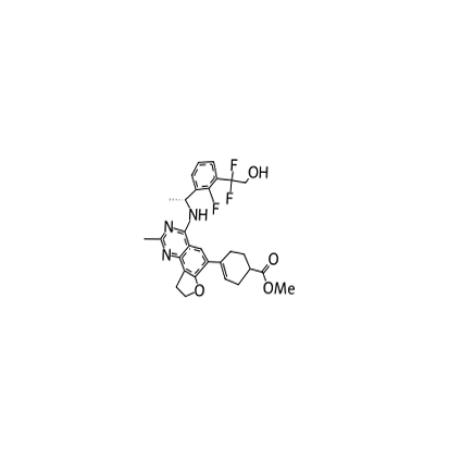 COC(=O)C1CC=C(c2cc3c(N[C@H](C)c4cccc(C(F)(F)CO)c4F)nc(C)nc3c3c2OCC3)CC1